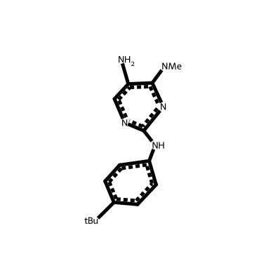 CNc1nc(Nc2ccc(C(C)(C)C)cc2)ncc1N